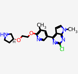 Cc1cc(-c2nc(Cl)nc3c2ccn3C)cnc1OCCO[C@@H]1CCNC1